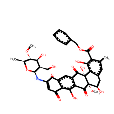 CO[C@@H]1[C@@H](O)[C@@H](CO)[C@@H](NC2=CC(=O)c3c(cc4c(c3O)C(=O)[C@]3(OC)[C@H](O)Cc5cc(C)c(C(=O)OCc6ccccc6)c(O)c5[C@]3(O)C4=O)C2=O)O[C@H]1C